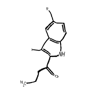 CCCC(=O)c1[nH]c2ccc(F)cc2c1I